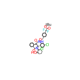 CC(C)(C)OC(=O)C(F)(F)c1ccc(CONC(=O)[C@@H]2c3ccccc3C(=O)N([C@H]3CCCC[C@@H]3O)[C@H]2c2ccc(Cl)cc2Cl)cc1